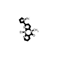 CCN1c2ncccc2C(=O)N(C)c2ccc(-c3cccn3C(C)=O)nc21